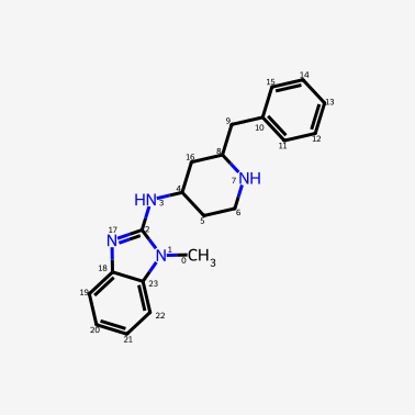 Cn1c(NC2CCNC(Cc3ccccc3)C2)nc2ccccc21